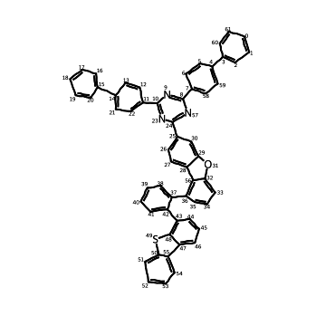 c1ccc(-c2ccc(-c3nc(-c4ccc(-c5ccccc5)cc4)nc(-c4ccc5c(c4)oc4cccc(-c6ccccc6-c6cccc7c6sc6ccccc67)c45)n3)cc2)cc1